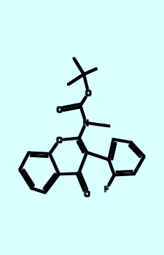 CN(C(=O)OC(C)(C)C)c1oc2ccccc2c(=O)c1-c1ccccc1F